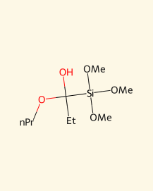 CCCOC(O)(CC)[Si](OC)(OC)OC